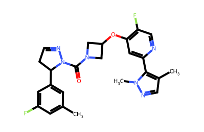 Cc1cc(F)cc(C2CC=NN2C(=O)N2CC(Oc3cc(-c4c(C)cnn4C)ncc3F)C2)c1